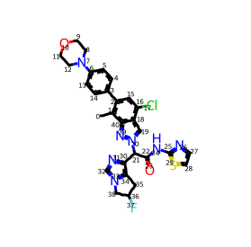 Cc1c(-c2ccc(N3CCOCC3)cc2)cc(Cl)c2cn(C(C(=O)Nc3nccs3)c3ncn4c3CC(F)C4)nc12